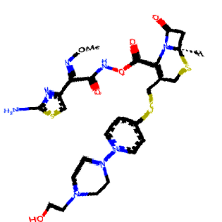 CO/N=C(\C(=O)NOC(=O)C1=C(CSc2cc[n+](N3CCN(CCO)CC3)cc2)CS[C@@H]2CC(=O)N12)c1csc(N)n1